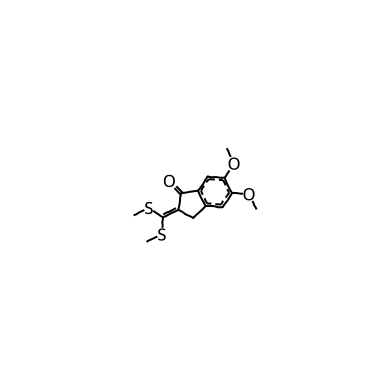 COc1cc2c(cc1OC)C(=O)C(=C(SC)SC)C2